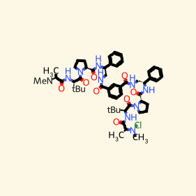 CN[C@@H](C)C(=O)N[C@H](C(=O)N1CCC[C@H]1C(=O)N[C@H](CNC(=O)c1cccc(C(=O)NC[C@@H](NC(=O)[C@@H]2CCCN2C(=O)[C@@H](NC(=O)[C@H](C)N(C)Cl)C(C)(C)C)c2ccccc2)c1)c1ccccc1)C(C)(C)C